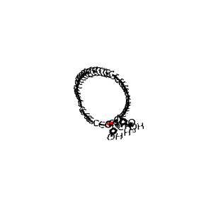 Cc1cc(N2CCCCCCCCCCCCCCCCCCCCCCCCCCCCCCCCCCCCCCCCCCCCCCCCC[C@@]3(CCN(C4CCC(O)CC4)C3=O)C2)ccc1NC(=O)O